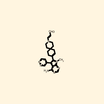 Cn1c(C2=CCC3(CC2)CCN(C=CC=O)CC3)c(-c2ccnnc2)c2c(N)ncnc21